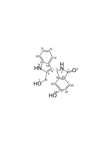 O=C1N[C@@H](c2c(CO)[nH]c3ccccc23)c2cc(O)ccc21